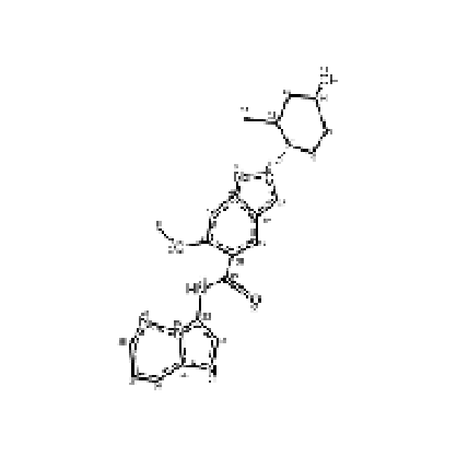 COc1cc2nn([C@H]3CC[C@H](O)C[C@@H]3C)cc2cc1C(=O)Nc1cnc2cccnn12